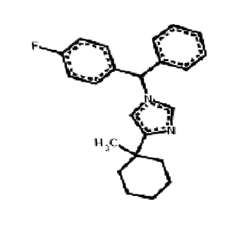 CC1(c2cn(C(c3ccccc3)c3ccc(F)cc3)cn2)CCCCC1